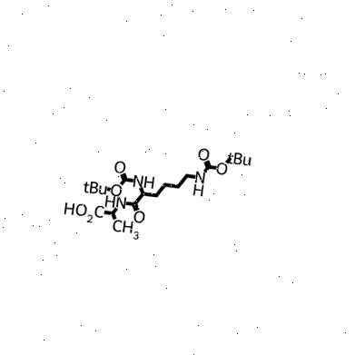 CC(NC(=O)C(CCCCNC(=O)OC(C)(C)C)NC(=O)OC(C)(C)C)C(=O)O